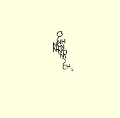 CCCC1CC(=O)N(Cn2cnc3c(NCc4ccccc4)ncnc32)C1